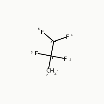 [CH2]C(F)(F)[C](F)F